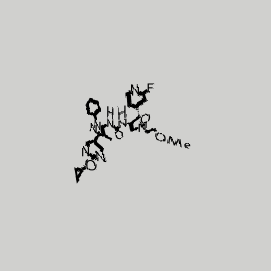 COCCN1C[C@@H](NC(=O)Nc2c(C)c(-c3cnc(OC4CC4)nc3)nn2-c2ccccc2)[C@H](c2ccnc(F)c2)O1